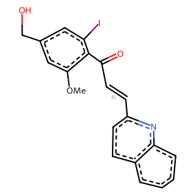 COc1cc(CO)cc(I)c1C(=O)/C=C/c1ccc2ccccc2n1